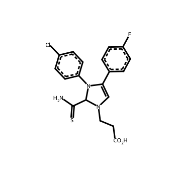 NC(=S)C1N(CCC(=O)O)C=C(c2ccc(F)cc2)N1c1ccc(Cl)cc1